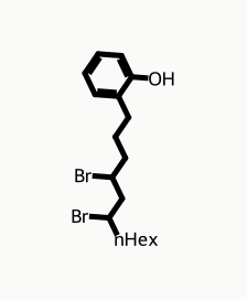 CCCCCCC(Br)CC(Br)CCCc1ccccc1O